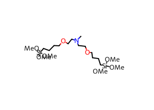 CO[Si](CCCCOCCN(C)CCOCCCC[Si](OC)(OC)OC)(OC)OC